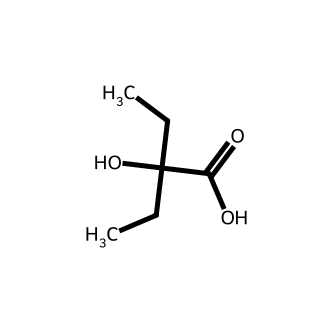 CCC(O)(CC)C(=O)O